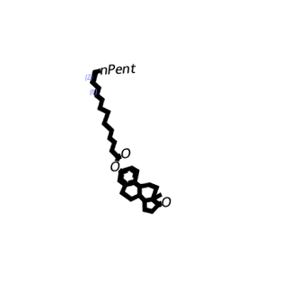 CCCCC/C=C\C=C\CCCCCCCCC(=O)Oc1ccc2c(c1)CCC1C2CCC2(C)C(=O)CCC12